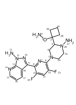 NOC1(C2CN(c3nc(-c4nn(N)c5ncccc45)c(F)cc3F)CCN2N)CCC1